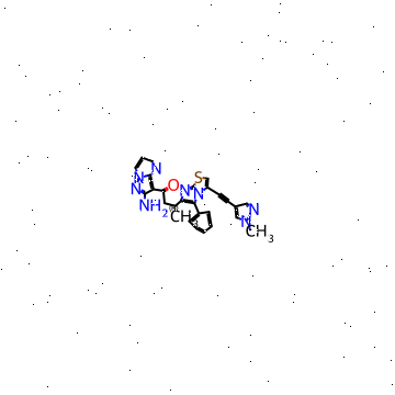 C[C@H](CC(=O)c1c(N)nn2cccnc12)c1nc2scc(C#Cc3cnn(C)c3)n2c1-c1ccccc1